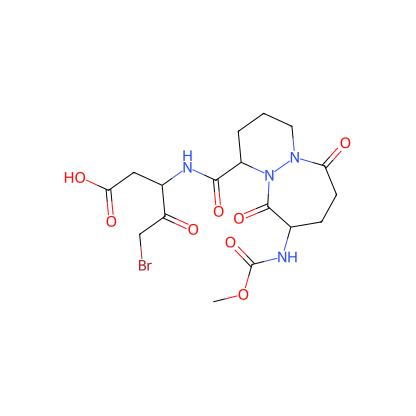 COC(=O)NC1CCC(=O)N2CCCC(C(=O)NC(CC(=O)O)C(=O)CBr)N2C1=O